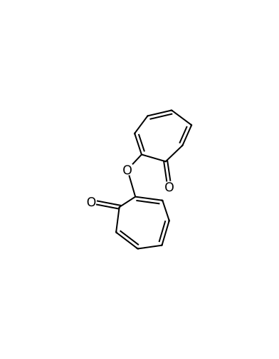 O=c1cccccc1Oc1cccccc1=O